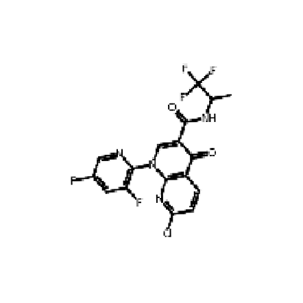 CC(NC(=O)c1cn(-c2ncc(F)cc2F)c2nc(Cl)ccc2c1=O)C(F)(F)F